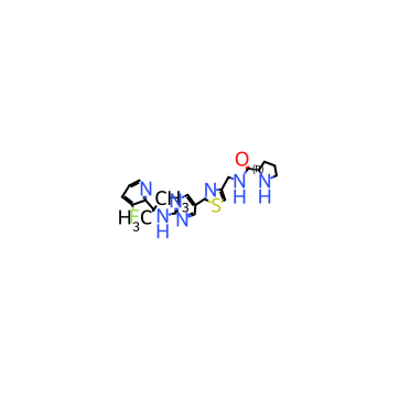 CC(C)(Nc1ncc(-c2nc(CNC(=O)[C@H]3CCCN3)cs2)cn1)c1ncccc1F